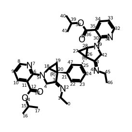 CCN=C1CN(c2ncccc2C(=O)OC(C)C)C2C[C@]12c1cccc([C@]23CC2N(c2ncccc2C(=O)OC(C)C)CC3=NCC)c1